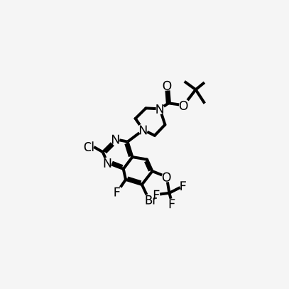 CC(C)(C)OC(=O)N1CCN(c2nc(Cl)nc3c(F)c(Br)c(OC(F)(F)F)cc23)CC1